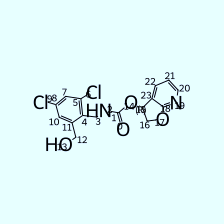 O=C(NCc1c(Cl)cc(Cl)cc1CO)O[C@H]1COc2ncccc21